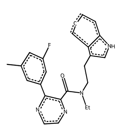 CCN(CCc1c[nH]c2ccccc12)C(=O)c1nccnc1-c1cc(C)cc(F)c1